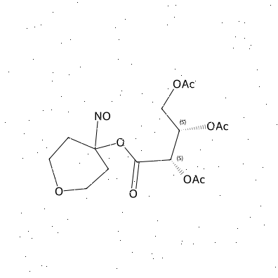 CC(=O)OC[C@H](OC(C)=O)[C@H](OC(C)=O)C(=O)OC1(N=O)CCOCC1